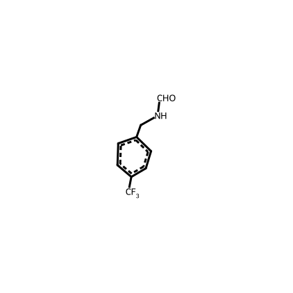 O=CNCc1ccc(C(F)(F)F)cc1